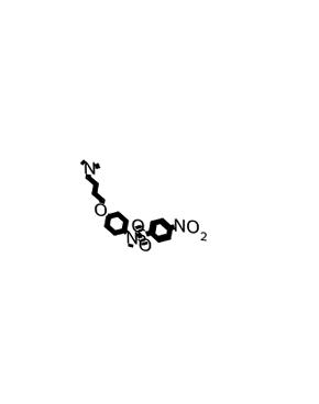 CN(C)CCCCOC1CCC(N(C)S(=O)(=O)c2ccc([N+](=O)[O-])cc2)CC1